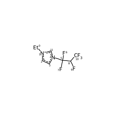 CC[n+]1ccn(C(F)(F)C(F)C(F)(F)F)c1